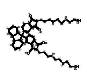 O=C1c2ccc(C3(c4ccc5c(c4)C(=O)N(CCCSCCSCCS)C5=O)c4ccccc4-c4ccccc43)cc2C(=O)N1CCCSCCSCCS